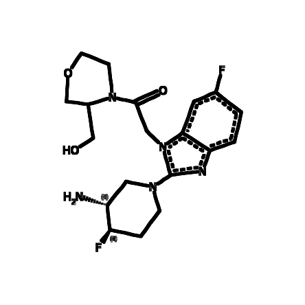 N[C@@H]1CN(c2nc3ccc(F)cc3n2CC(=O)N2CCOCC2CO)CC[C@H]1F